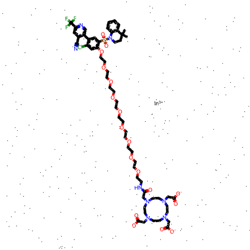 CC1(C)CCN(S(=O)(=O)c2cc(-c3cnc(C(F)(F)F)cc3C#N)c(Cl)cc2OCCOCCOCCOCCOCCOCCOCCOCCOCCNC(=O)CN2CCN(CC(=O)[O-])CCN(CC(=O)[O-])CCN(CC(=O)[O-])CC2)c2ccccc21.[In+3]